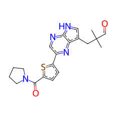 CC(C)(C=O)Cc1c[nH]c2ncc(-c3ccc(C(=O)N4CCCC4)s3)nc12